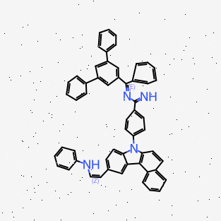 N=C(/N=C(\c1ccccc1)c1cc(-c2ccccc2)cc(-c2ccccc2)c1)c1ccc(-n2c3ccc(/C=C\Nc4ccccc4)cc3c3c4ccccc4ccc32)cc1